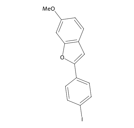 COc1ccc2cc(-c3ccc(I)cc3)oc2c1